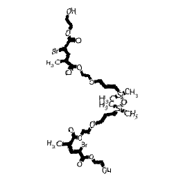 CC(CC(Br)C(=O)OCCO)C(=O)OCCOCCC[Si](C)(C)O[Si](C)(C)CCCOCCOC(=O)C(C)CC(Br)C(=O)OCCO